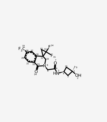 C[C@]1(O)C[C@@H](NC(=O)CN2CC3(CC3(F)F)c3cc(C(F)(F)F)ccc3C2=O)C1